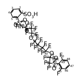 O=S(=O)(O)c1ccccc1S(=O)(=O)NS(=O)(=O)C(F)(F)C(F)(F)OC(F)(F)C(F)(F)C(F)(F)C(F)(F)OC(F)(F)C(F)(F)S(=O)(=O)c1c(F)cccc1F